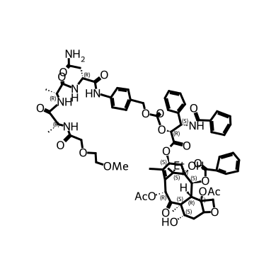 CC[C@@]1(C)C2=C(C)[C@@H](OC(=O)[C@H](OC(=O)OCc3ccc(NC(=O)[C@@H](CC(N)=O)NC(=O)[C@@H](C)NC(=O)[C@@H](C)NC(=O)COCCOC)cc3)[C@@H](NC(=O)c3ccccc3)c3ccccc3)C[C@@]1(O)[C@@H](OC(=O)c1ccccc1)[C@H]1[C@](C)(C(=O)[C@@H]2OC(C)=O)[C@@H](O)CC2OC[C@]21OC(C)=O